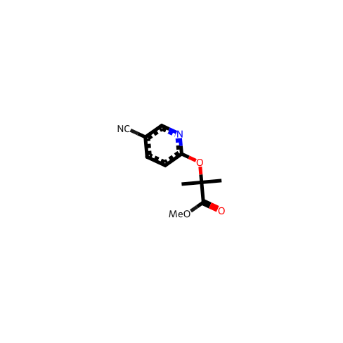 COC(=O)C(C)(C)Oc1ccc(C#N)cn1